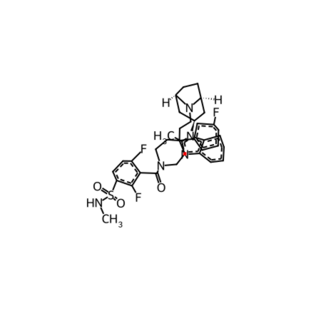 CNS(=O)(=O)c1ccc(F)c(C(=O)N2CCC(CCN3[C@@H]4CC[C@H]3C[C@@H](n3c(C)nc5ccccc53)C4)(c3cccc(F)c3)CC2)c1F